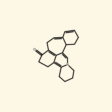 O=C1CCC2=C3CCCCN3C=C3C2=C1CC=C1C=CCCC13